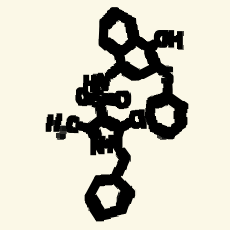 Cc1nn(Cc2ccccc2)c(C)c1S(=O)(=O)Nc1cc(Sc2ccccc2)c(O)c2ccccc12